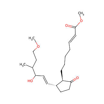 COCCC(C)C(O)/C=C/[C@H]1CCC(=O)[C@@H]1CCCC/C=C/C(=O)OC